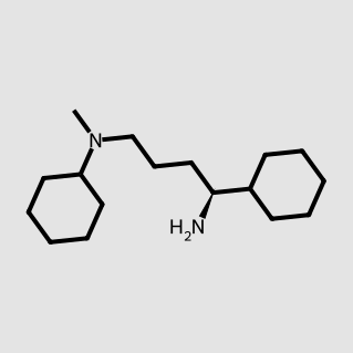 CN(CCC[C@H](N)C1CCCCC1)C1CCCCC1